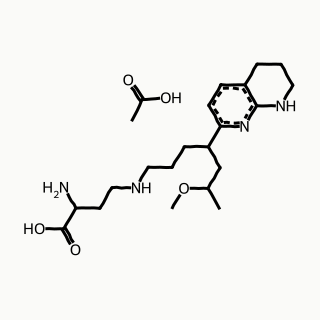 CC(=O)O.COC(C)CC(CCCNCCC(N)C(=O)O)c1ccc2c(n1)NCCC2